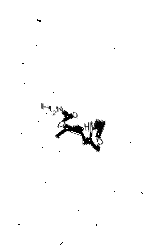 CC(C)(CC1COCN1)OC(N)=O